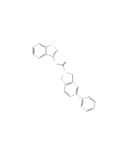 O=C(Nc1c[nH]c2ccccc12)N1Cc2ccc(-c3ccccc3)cc2C1